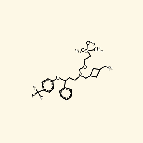 C[Si](C)(C)CCOCN(CCC(Oc1ccc(C(F)(F)F)cc1)c1ccccc1)CC1CC(CBr)C1